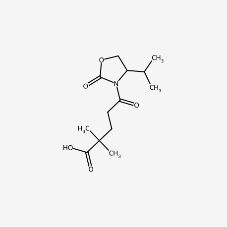 CC(C)C1COC(=O)N1C(=O)CCC(C)(C)C(=O)O